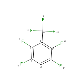 Fc1cc(F)c(F)c(C(F)(F)F)c1F